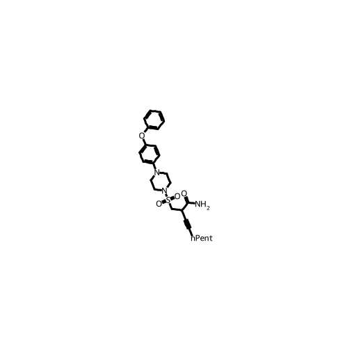 CCCCCC#CC(CS(=O)(=O)N1CCN(c2ccc(Oc3ccccc3)cc2)CC1)C(N)=O